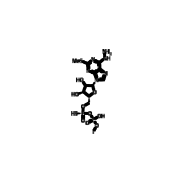 CSc1nc(NN)c2ncn([C@@H]3O[C@H](CO[P@@](=O)(S)OP(=O)(O)OI)[C@@H](O)C3O)c2n1